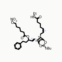 CCCCB1OC2CC(O1)[C@H](C/C=C\CCCC(=O)NCC)[C@H]2/C=C/C(CCc1ccccc1)OC(=O)CCCCCO[N+](=O)[O-]